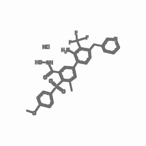 COc1ccc(S(=O)(=O)c2c(C)cc(-c3ccc(Cc4cccnc4)c(C(F)(F)F)c3N)cc2C(=O)NO)cc1.Cl